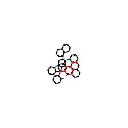 c1ccc2c(c1)Oc1ccc(-c3ccccc3N(c3ccccc3-c3cccc4ccccc34)c3cccc4ccccc34)cc1C21c2ccccc2-c2ccccc21